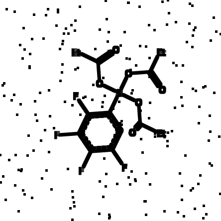 CCC(=O)O[Si](OC(=O)CC)(OC(=O)CC)c1cc(F)c(F)c(F)c1F